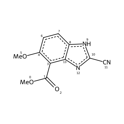 COC(=O)c1c(OC)ccc2[nH]c(C#N)nc12